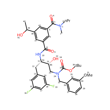 CCCN(C)C(=O)c1cc(C(=O)N[C@@H](Cc2cc(F)cc(F)c2)[C@H](O)CN(Cc2cccc(OC)c2)C(=O)OC(C)(C)C)cc(C(C)O)c1